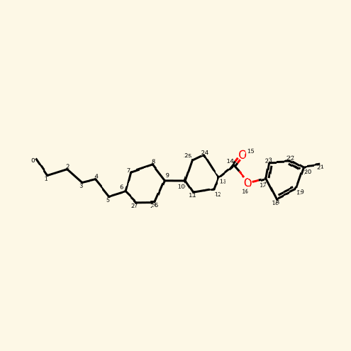 CCCCCCC1CCC(C2CCC(C(=O)Oc3ccc(C)cc3)CC2)CC1